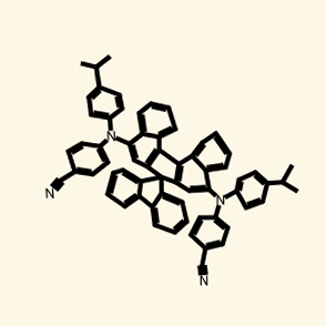 CC(C)c1ccc(N(c2ccc(C#N)cc2)c2cc3c(c4ccccc24)-c2c(cc(N(c4ccc(C#N)cc4)c4ccc(C(C)C)cc4)c4ccccc24)C32c3ccccc3-c3ccccc32)cc1